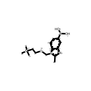 Cc1nc2cc(B(O)O)ccc2n1COCC[Si](C)(C)C